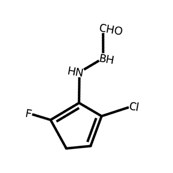 O=CBNC1=C(F)CC=C1Cl